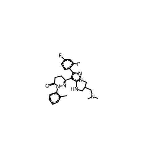 Cc1ccccc1N1N=C(c2c(-c3ccc(F)cc3F)nn3c2NCC(CN(C)C)C3)CCC1=O